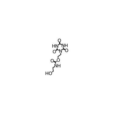 O=C(NCCO)OCCn1c(=O)[nH]c(=O)[nH]c1=O